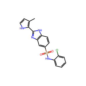 Cc1cc[nH]c1-c1nc2cc(S(=O)(=O)Nc3ccccc3Cl)ccc2[nH]1